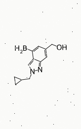 Bc1cc(CO)cc2nn(CC3CC3)cc12